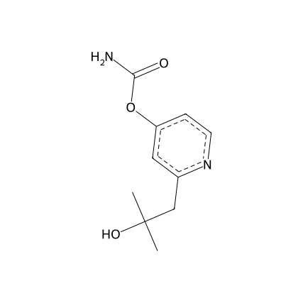 CC(C)(O)Cc1cc(OC(N)=O)ccn1